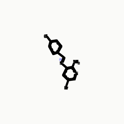 Nc1ncc(Br)cc1/N=C/c1ccc(Cl)cc1